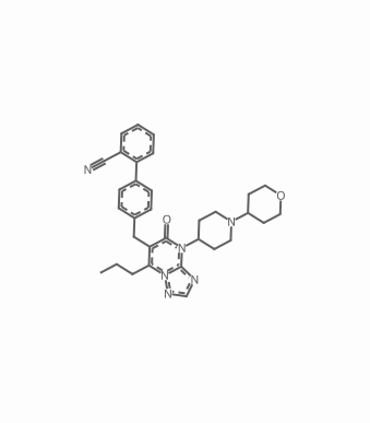 CCCc1c(Cc2ccc(-c3ccccc3C#N)cc2)c(=O)n(C2CCN(C3CCOCC3)CC2)c2ncnn12